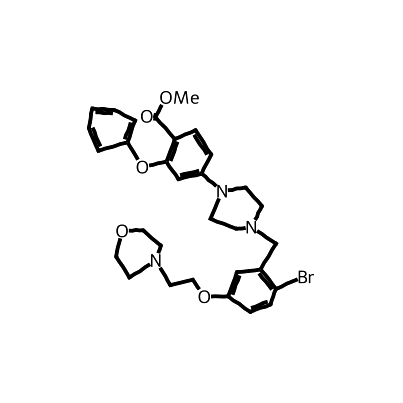 COC(=O)c1ccc(N2CCN(Cc3cc(OCCN4CCOCC4)ccc3Br)CC2)cc1Oc1ccccc1